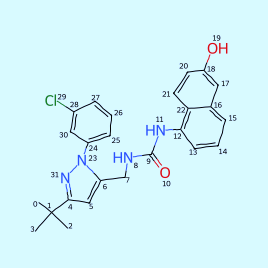 CC(C)(C)c1cc(CNC(=O)Nc2cccc3cc(O)ccc23)n(-c2cccc(Cl)c2)n1